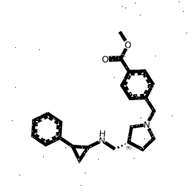 COC(=O)c1ccc(CN2CC[C@H](CNC3CC3c3ccccc3)C2)cc1